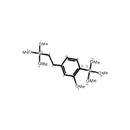 COc1cc(CC[Si](OC)(OC)OC)ccc1[Si](OC)(OC)OC